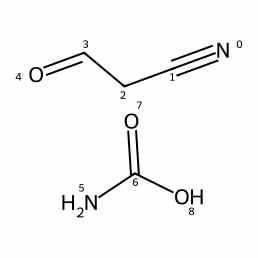 N#CCC=O.NC(=O)O